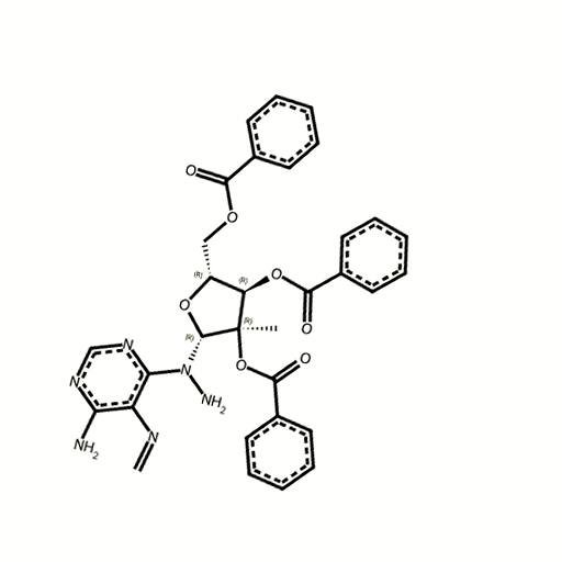 C=Nc1c(N)ncnc1N(N)[C@@H]1O[C@H](COC(=O)c2ccccc2)[C@@H](OC(=O)c2ccccc2)[C@@]1(C)OC(=O)c1ccccc1